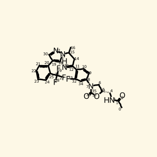 CC(=O)NC[C@H]1CN(c2ccc(C(=N)CC(C)n3cc(-c4ccccc4C(F)(F)F)cn3)c(F)c2)C(=O)O1